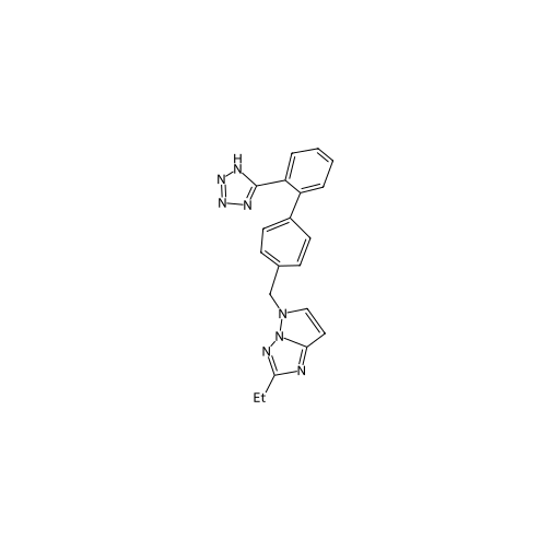 CCc1nc2ccn(Cc3ccc(-c4ccccc4-c4nnn[nH]4)cc3)n2n1